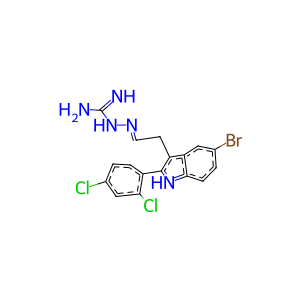 N=C(N)NN=CCc1c(-c2ccc(Cl)cc2Cl)[nH]c2ccc(Br)cc12